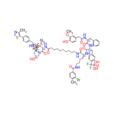 COc1cc(CC(=O)N[C@@H](Cc2ccccc2)C(=O)N[C@@H](Cc2ccc(C(F)(F)P(=O)(O)O)cc2)C(=O)N[C@@H](CCCCNC(=O)c2ccc(C)c(Br)c2)C(=O)NCCCCCCCCCC(=O)N[C@H](C(=O)N2C[C@H](O)C[C@H]2C(=O)NCc2ccc(-c3scnc3C)cc2)C(C)(C)C)ccc1O